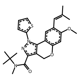 COc1cc2c(cc1C=C(C)C)-c1c(c(C(=O)N(C)C(C)(C)C)nn1-c1cccs1)CO2